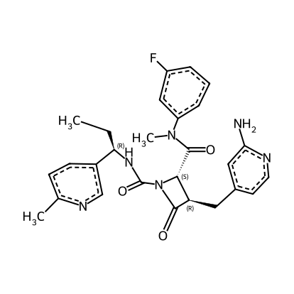 CC[C@@H](NC(=O)N1C(=O)[C@H](Cc2ccnc(N)c2)[C@H]1C(=O)N(C)c1cccc(F)c1)c1ccc(C)nc1